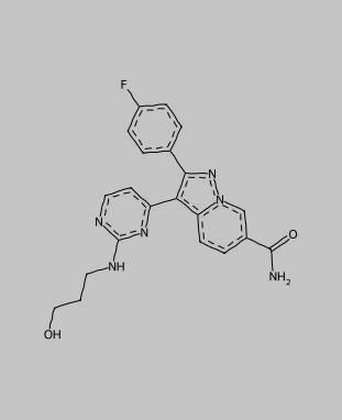 NC(=O)c1ccc2c(-c3ccnc(NCCCO)n3)c(-c3ccc(F)cc3)nn2c1